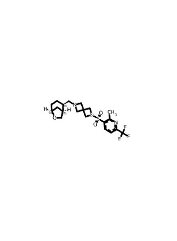 Cc1nc(C(F)(F)F)ccc1S(=O)(=O)N1CC2(CN(C[C@@H]3CC[C@H]4C[C@@H]3CO4)C2)C1